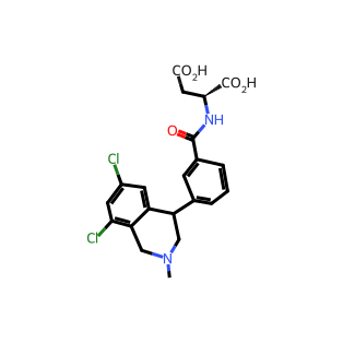 CN1Cc2c(Cl)cc(Cl)cc2C(c2cccc(C(=O)N[C@@H](CC(=O)O)C(=O)O)c2)C1